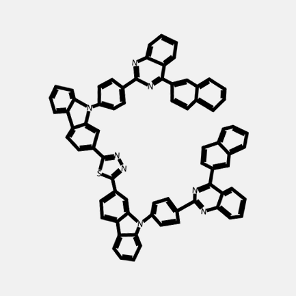 c1ccc2cc(-c3nc(-c4ccc(-n5c6ccccc6c6ccc(-c7nnc(-c8ccc9c%10ccccc%10n(-c%10ccc(-c%11nc(-c%12ccc%13ccccc%13c%12)c%12ccccc%12n%11)cc%10)c9c8)s7)cc65)cc4)nc4ccccc34)ccc2c1